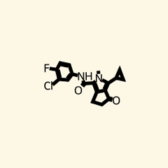 Cn1c(C(=O)Nc2ccc(F)c(Cl)c2)c2c(c1C1CC1)C(=O)CC2